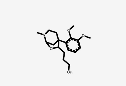 COc1cccc(C23CCN(C)C(C2)OC3CCCO)c1OC